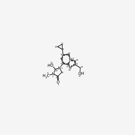 CN1C(=O)CN(c2cc(C3CC3)cn3cc(CO)nc23)C1O